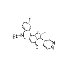 CCN(Cc1cc(=O)n2c(-c3ccnnc3)c(C)sc2n1)c1ccc(F)cc1